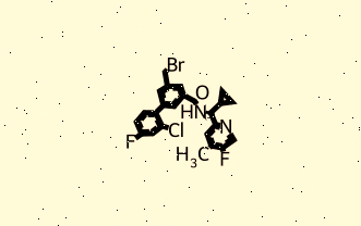 Cc1cc([C@@H](NC(=O)c2cc(CBr)cc(-c3ccc(F)cc3Cl)c2)C2CC2)ncc1F